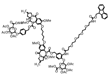 C=C1C[C@H]2[C@H](OC)N(C(=O)OCc3ccc(O[C@@H]4O[C@H](C(=O)OC)[C@@H](OC(C)=O)[C@H](OC(C)=O)[C@H]4OC(C)=O)cc3)c3cc(OCCCCCOc4cc5c(cc4OC)C(=O)N4CC(=C)C[C@H]4[C@H](OC)N5C(=O)OCc4ccc(O[C@@H]5O[C@H](C(=O)OC)[C@@H](OC(C)=O)[C@H](OC(C)=O)[C@H]5OC(C)=O)c(NC(=O)CCOCCOCCOCCOCCNC(=O)OCC5c6ccccc6-c6ccccc65)c4)c(OC)cc3C(=O)N2C1